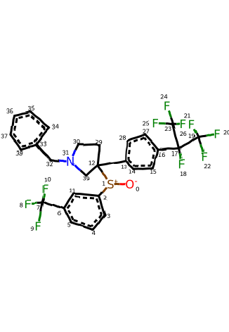 [O-][S+](c1cccc(C(F)(F)F)c1)C1(c2ccc(C(F)(C(F)(F)F)C(F)(F)F)cc2)CCN(Cc2ccccc2)C1